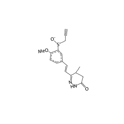 C#CC[S+]([O-])c1cc(C=CC2=NNC(=O)CC2C)ccc1OC